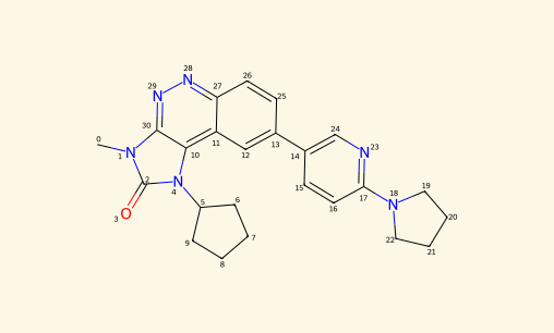 Cn1c(=O)n(C2CCCC2)c2c3cc(-c4ccc(N5CCCC5)nc4)ccc3nnc21